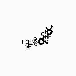 COc1ccc(S(=O)(=O)NC[C@@H](O)C(F)(F)F)cc1C(=O)Nc1ccc(F)c(C)n1